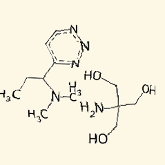 CCC(c1ccnnn1)N(C)C.NC(CO)(CO)CO